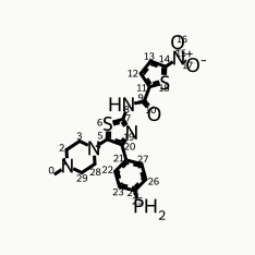 CN1CCN(c2sc(NC(=O)c3ccc([N+](=O)[O-])s3)nc2-c2ccc(P)cc2)CC1